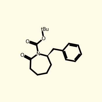 CC(C)(C)OC(=O)N1C(=O)CCCC[C@@H]1Cc1ccccc1